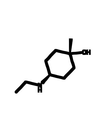 CCN[C@H]1CC[C@](C)(O)CC1